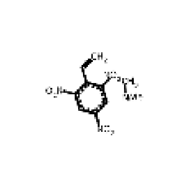 C=Cc1c([N+](=O)[O-])cc([N+](=O)[O-])cc1[N+](=O)[O-].CNC